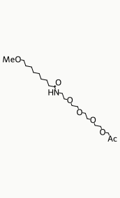 COCCCCCCCCC(=O)NCCOCCOCCOCCOCC(C)=O